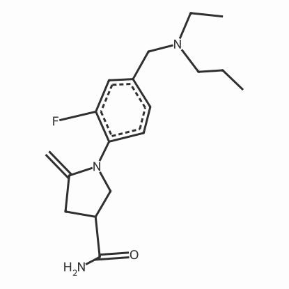 C=C1CC(C(N)=O)CN1c1ccc(CN(CC)CCC)cc1F